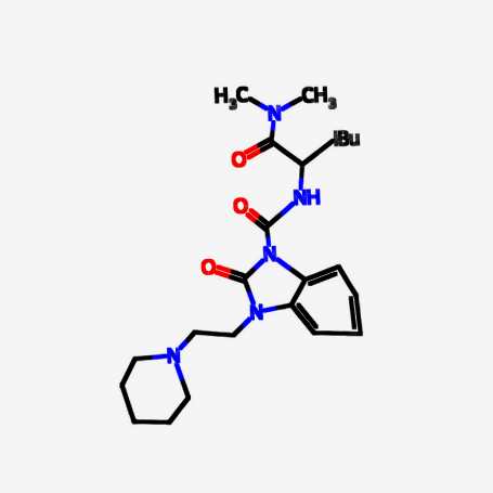 CCC(C)C(NC(=O)n1c(=O)n(CCN2CCCCC2)c2ccccc21)C(=O)N(C)C